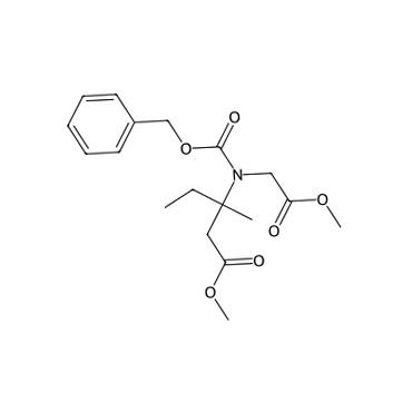 CCC(C)(CC(=O)OC)N(CC(=O)OC)C(=O)OCc1ccccc1